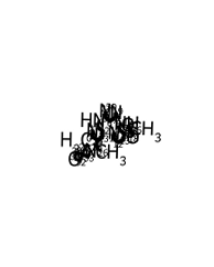 Cc1nc(Nc2cc(Nc3ncccc3S(C)(=O)=O)ncn2)ccc1C(C)N1CC2(COC2)C1